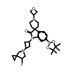 CC1(C)OB(c2ccc3c(c2)N(C2CC(N4CC(F)C5(CC5)C4)C2)C(=O)C32CCN(C3COC3)CC2)OC1(C)C